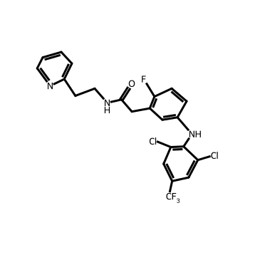 O=C(Cc1cc(Nc2c(Cl)cc(C(F)(F)F)cc2Cl)ccc1F)NCCc1ccccn1